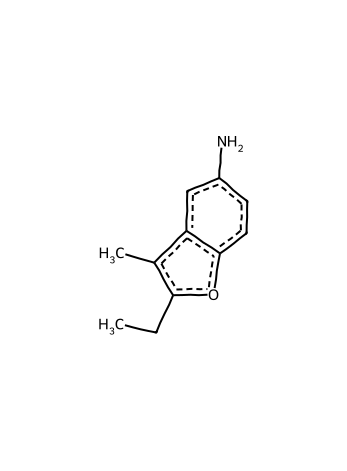 CCc1oc2ccc(N)cc2c1C